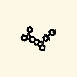 c1ccc(-n2c3ccccc3c3cc4cc5c6ccccc6n(-c6cnc(-c7ccncc7)nc6)c5cc4cc32)cc1